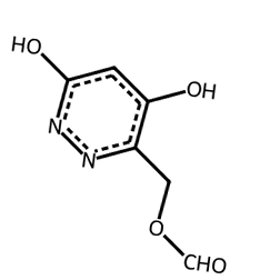 O=COCc1nnc(O)cc1O